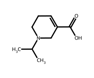 CC(C)N1CCC=C(C(=O)O)C1